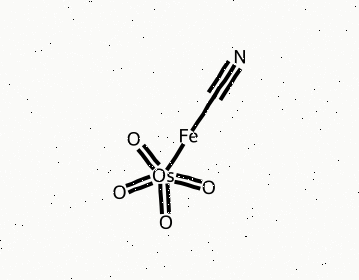 N#[C][Fe][Os](=[O])(=[O])(=[O])=[O]